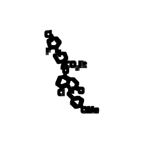 CCOC(=O)C1(COc2ccc(Cl)c3c2CCC(=O)N3Cc2ccc(OC)cc2)CCN(c2ccc(Cl)cc2F)CC1